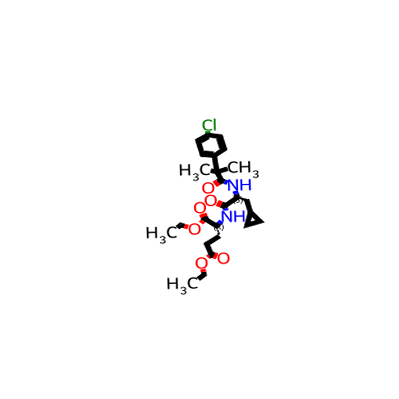 CCOC(=O)CC[C@@H](NC(=O)[C@H](CC1CC1)NC(=O)C(C)(C)c1ccc(Cl)cc1)C(=O)OCC